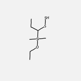 CCO[Si](C)(C)C(CC)SS